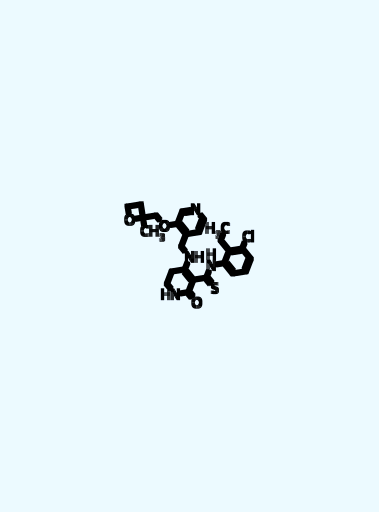 CCc1c(Cl)cccc1NC(=S)C1=C(NCc2ccncc2OCC2(C)CCO2)CCNC1=O